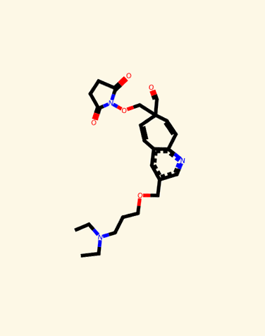 CCN(CC)CCCOCc1cnc2c(c1)C=CC(C=O)(CON1C(=O)CCC1=O)C=C2